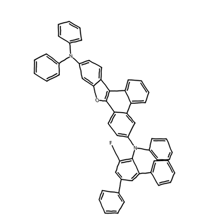 Fc1cc(-c2ccccc2)cc(-c2ccccc2)c1N(c1ccccc1)c1ccc2c(c1)c1ccccc1c1c3ccc(N(c4ccccc4)c4ccccc4)cc3oc21